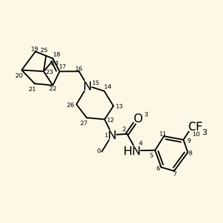 CN(C(=O)Nc1cccc(C(F)(F)F)c1)C1CCN(CC2=CCC3CC2C3(C)C)CC1